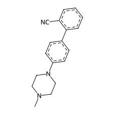 CN1CCN(c2ccc(-c3ccccc3C#N)cc2)CC1